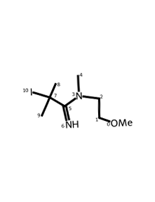 COCCN(C)C(=N)C(C)(C)I